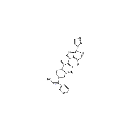 C[C@@H]1CN(/C(=N\C#N)c2ccccc2)CCN1C(=O)C(=O)c1c[nH]c2c(-n3ccnn3)ncc(F)c12